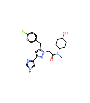 CN(C(=O)Cn1nc(-c2c[nH]cn2)cc1Cc1ccc(F)cc1)[C@H]1CC[C@H](O)CC1